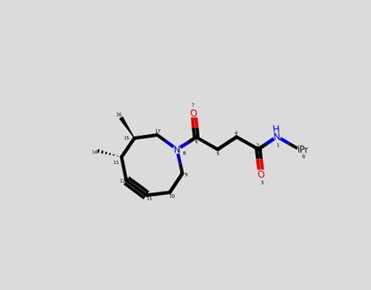 CC(C)NC(=O)CCC(=O)N1CCC#C[C@H](C)[C@@H](C)C1